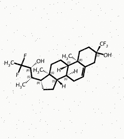 C[C@H]([C@@H](O)C(C)(F)F)[C@H]1CC[C@H]2[C@@H]3CC=C4C[C@](O)(C(F)(F)F)CC[C@]4(C)[C@H]3CC[C@]12C